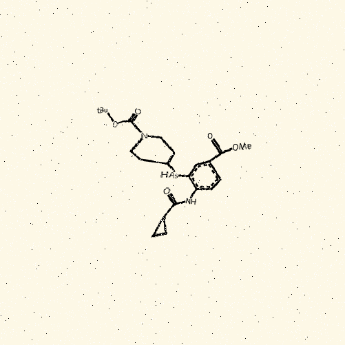 COC(=O)c1ccc(NC(=O)C2CC2)c([AsH]C2CCN(C(=O)OC(C)(C)C)CC2)c1